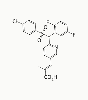 CC(=Cc1ccc(C(c2cc(F)ccc2F)S(=O)(=O)c2ccc(Cl)cc2)nc1)C(=O)O